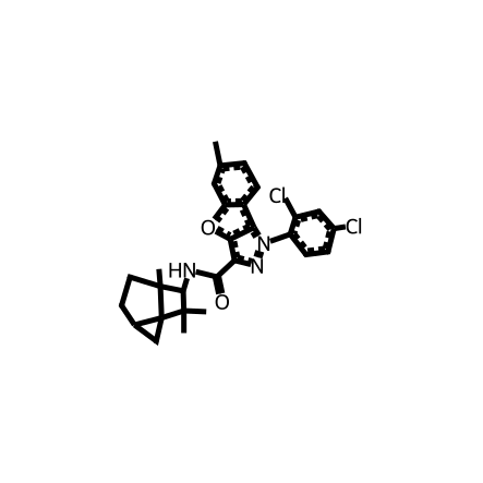 Cc1ccc2c(c1)oc1c(C(=O)NC3C(C)(C)C45CC4CCC35C)nn(-c3ccc(Cl)cc3Cl)c12